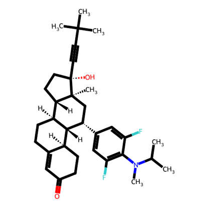 CC(C)N(C)c1c(F)cc([C@H]2C[C@@]3(C)[C@@H](CC[C@@]3(O)C#CC(C)(C)C)[C@@H]3CCC4=CC(=O)CC[C@@H]4[C@H]32)cc1F